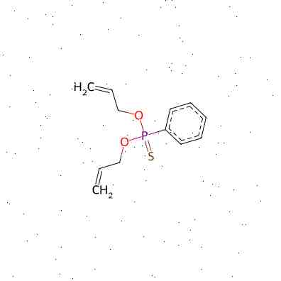 C=CCOP(=S)(OCC=C)c1ccccc1